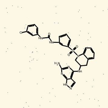 Nc1nc(NC2Cc3ccccc3N(S(=O)(=O)c3cccc(NC(=O)Nc4cccc(Cl)c4)c3)C2)c2cn[nH]c2n1